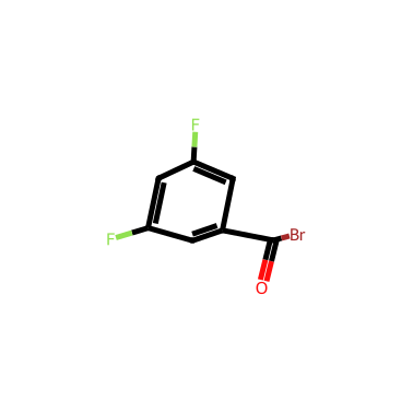 O=C(Br)c1cc(F)cc(F)c1